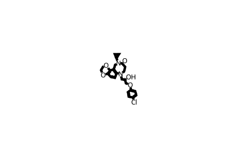 O=C1CCN(C[C@@H](O)COc2ccc(Cl)cc2)c2ccc3c(c2CN1C1CC1)OCCO3